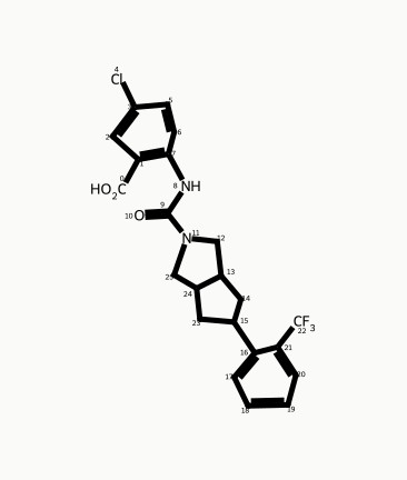 O=C(O)c1cc(Cl)ccc1NC(=O)N1CC2CC(c3ccccc3C(F)(F)F)CC2C1